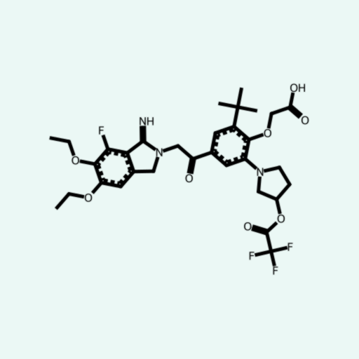 CCOc1cc2c(c(F)c1OCC)C(=N)N(CC(=O)c1cc(N3CCC(OC(=O)C(F)(F)F)C3)c(OCC(=O)O)c(C(C)(C)C)c1)C2